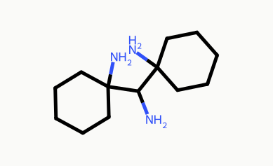 NC(C1(N)CCCCC1)C1(N)CCCCC1